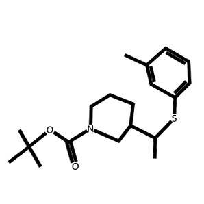 Cc1cccc(SC(C)C2CCCN(C(=O)OC(C)(C)C)C2)c1